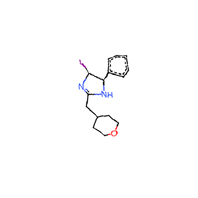 I[C@@H]1N=C(CC2CCOCC2)N[C@@H]1c1ccccc1